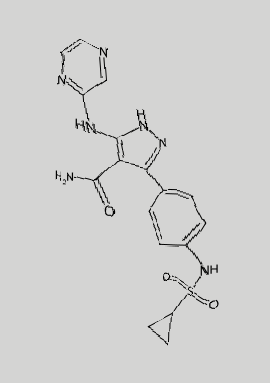 NC(=O)c1c(-c2ccc(NS(=O)(=O)C3CC3)cc2)n[nH]c1Nc1cnccn1